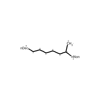 [CH2]C(CCCCCCCCC)CCCCCCCCCCCCCCC